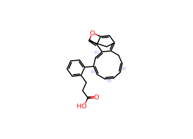 O=C(O)CCc1ccccc1C1=C/C=C\C=C/Cc2c3cc4c(\c2=C\1)=C(C3)O4